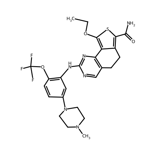 CCOc1sc(C(N)=O)c2c1-c1nc(Nc3cc(N4CCN(C)CC4)ccc3OC(F)(F)F)ncc1CC2